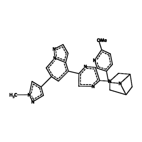 COc1ccc(CN2C3CC2CN(c2cnc(-c4cc(-c5cnn(C)c5)cn5nccc45)cn2)C3)cn1